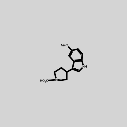 COc1ccc2[nH]cc(C3CCN(C(=O)O)CC3)c2c1